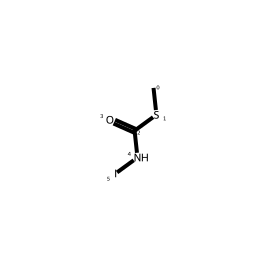 CSC(=O)NI